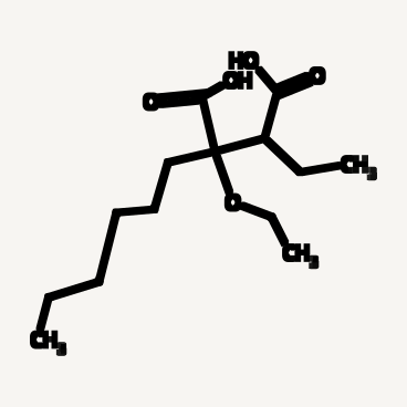 CCCCCCC(OCC)(C(=O)O)C(CC)C(=O)O